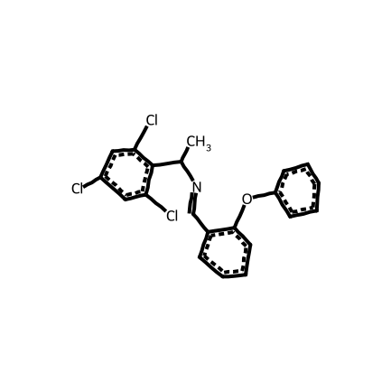 CC(N=Cc1ccccc1Oc1ccccc1)c1c(Cl)cc(Cl)cc1Cl